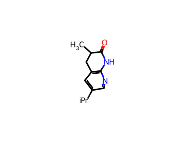 CC1Cc2cc(C(C)C)cnc2NC1=O